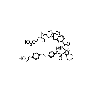 CCC(CC)N(CCN(C)C(=O)CCC(=O)O)Cc1cccc(C(=O)Nc2sc3c(c2C(=O)Nc2ccc(CCc4ccc(C(=O)O)cc4)cc2)CCCC3)c1